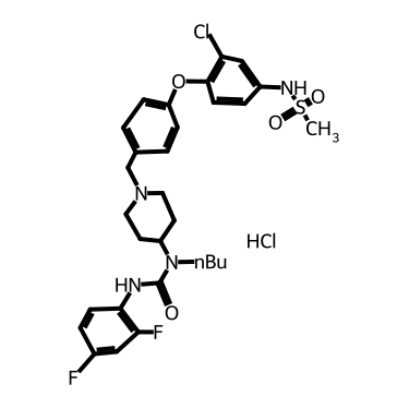 CCCCN(C(=O)Nc1ccc(F)cc1F)C1CCN(Cc2ccc(Oc3ccc(NS(C)(=O)=O)cc3Cl)cc2)CC1.Cl